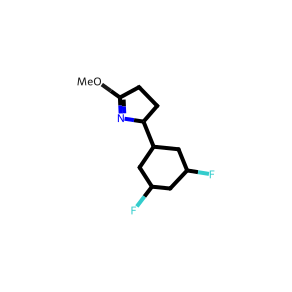 COC1=NC(C2CC(F)CC(F)C2)CC1